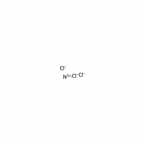 [Cl-].[Cl-].[Cl-].[N+3]